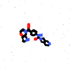 O=C(Nc1ccc(C(=O)N2CCOC3(CCCNC3)C2)cc1)N1Cc2ccncc2C1